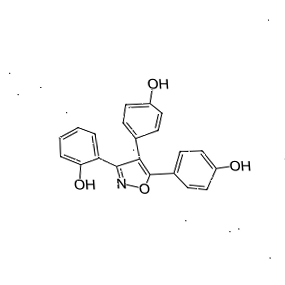 Oc1ccc(-c2onc(-c3ccccc3O)c2-c2ccc(O)cc2)cc1